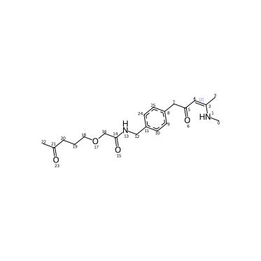 CN/C(C)=C\C(=O)Cc1ccc(CNC(=O)COCCCC(C)=O)cc1